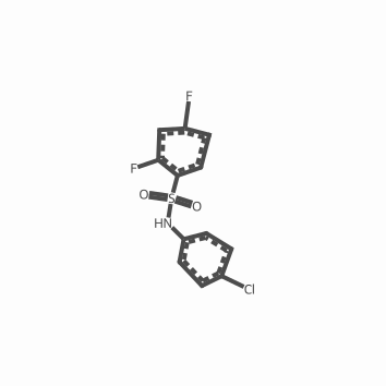 O=S(=O)(Nc1ccc(Cl)cc1)c1ccc(F)cc1F